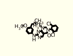 CNCc1cc(Nc2ncc3c(n2)N(C)CN(c2c(Cl)cccc2Cl)C3=O)ccc1OC